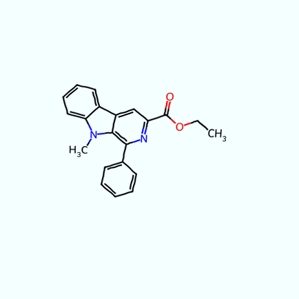 CCOC(=O)c1cc2c3ccccc3n(C)c2c(-c2ccccc2)n1